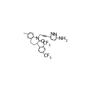 Cc1ccc2c(c1)CCC(c1ccc(C(F)(F)F)cc1C(F)(F)F)C(=O)N2CC#Cc1ccc(N)nn1